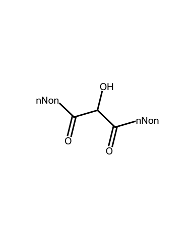 CCCCCCCCCC(=O)C(O)C(=O)CCCCCCCCC